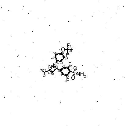 NS(=O)(=O)c1c(F)cc(-c2cc(C(F)F)nn2-c2ccc(OC(F)(F)F)cc2)cc1F